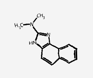 CN(C)c1nc2c(ccc3ccccc32)[nH]1